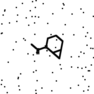 CNN1CCCC2CC21